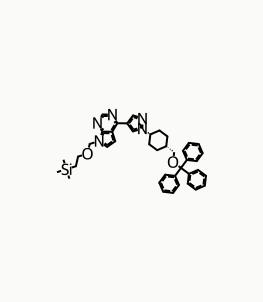 C[Si](C)(C)CCOCn1ccc2c(-c3cnn([C@H]4CC[C@@H](COC(c5ccccc5)(c5ccccc5)c5ccccc5)CC4)c3)ncnc21